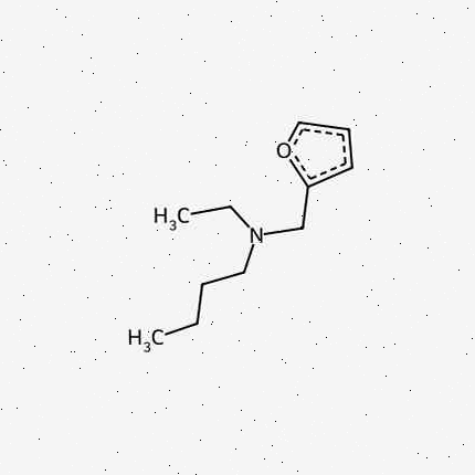 CCCCN(CC)Cc1ccco1